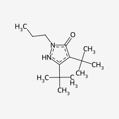 CCCn1[nH]c(C(C)(C)C)c(C(C)(C)C)c1=O